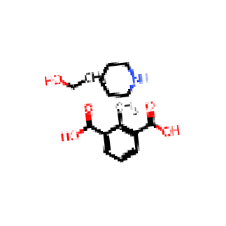 C1CCNCC1.CCO.Cc1c(C(=O)O)cccc1C(=O)O